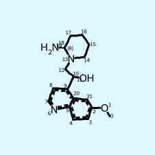 COc1ccc2nccc(C(O)CN3CCCC[C@@H]3N)c2c1